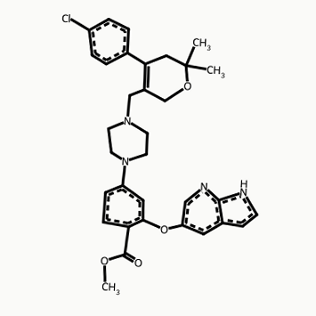 COC(=O)c1ccc(N2CCN(CC3=C(c4ccc(Cl)cc4)CC(C)(C)OC3)CC2)cc1Oc1cnc2[nH]ccc2c1